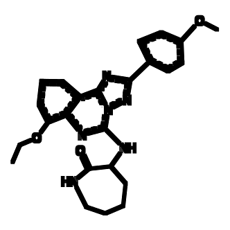 CCOc1cccc2c1nc(NC1CCCCNC1=O)n1nc(-c3ccc(OC)cc3)nc21